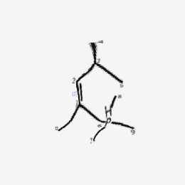 C/C(=C/C(C)C)[PH](C)(C)C